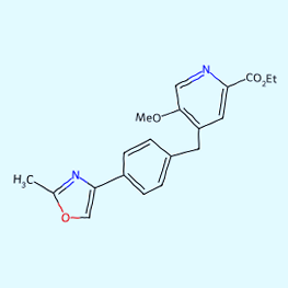 CCOC(=O)c1cc(Cc2ccc(-c3coc(C)n3)cc2)c(OC)cn1